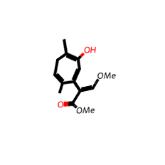 CO/C=C(/C(=O)OC)C1=CC(O)=C(C)CC=C1C